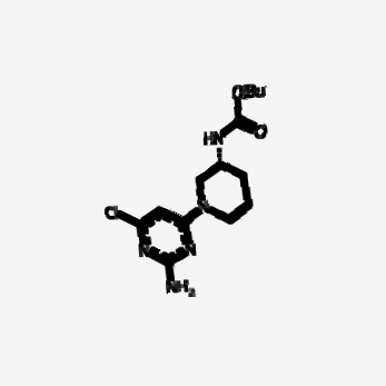 CC(C)COC(=O)N[C@@H]1CCCN(c2cc(Cl)nc(N)n2)C1